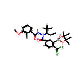 CCC(N(NC(=O)c1cccc(OC)c1C)C(=O)c1ccc(C(Br)Br)c(B2OC(C)(C)C(C)(C)O2)c1)C(C)(C)C